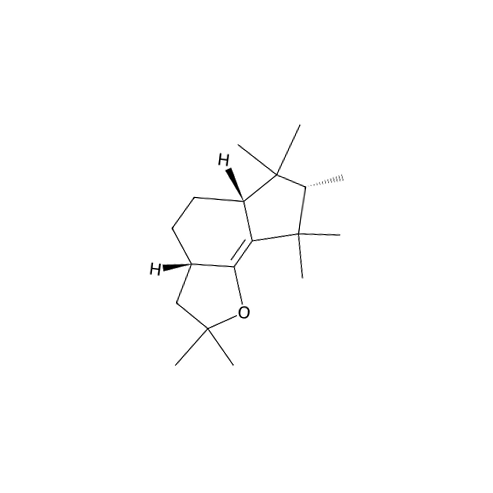 C[C@@H]1C(C)(C)C2=C3OC(C)(C)C[C@@H]3CC[C@@H]2C1(C)C